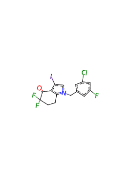 O=C1c2c(I)cn(Cc3cc(F)cc(Cl)c3)c2CCC1(F)F